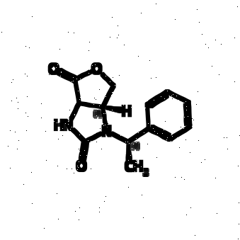 C[C@H](c1ccccc1)N1C(=O)NC2C(=O)OC[C@@H]21